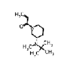 C=CC(=O)N1CCC[C@H](N(C)C(C)(C)C)C1